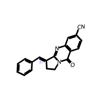 N#Cc1ccc2c(=O)n3c(nc2c1)/C(=C/c1ccccc1)CC3